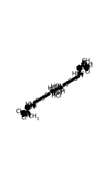 CN1Cc2c(Cl)cc(Cl)cc2[C@H](c2cccc(-c3nnc(CCOCCOCCOCCNC(=O)[C@@H](O)[C@H](O)[C@H](O)[C@@H](O)C(=O)NCCOCCOCCOCCc4nnc(-c5cccc([C@@H]6CN(C)Cc7c(Cl)cc(Cl)cc76)c5)[nH]4)[nH]3)c2)C1.Cl